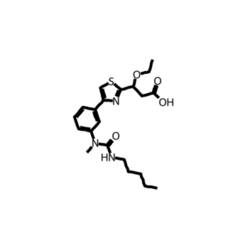 CCCCCNC(=O)N(C)c1cccc(-c2csc(C(CC(=O)O)OCC)n2)c1